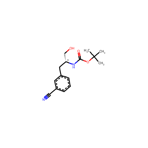 CC(C)(C)OC(=O)N[C@@H](CO)Cc1cccc(C#N)c1